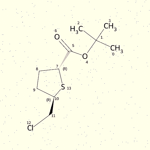 CC(C)(C)OC(=O)[C@H]1CC[C@H](CCl)S1